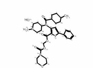 CC1CCC(C(=O)N(c2cc(-c3ccccc3)sc2C(=O)OCOC(=O)N2CCOCC2)C2CCN(C)CC2)CC1.Cl